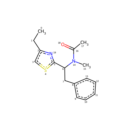 CCc1csc(C(Cc2ccccc2)N(C)C(C)=O)n1